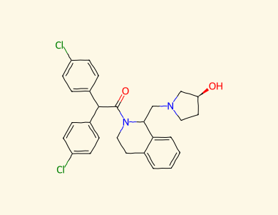 O=C(C(c1ccc(Cl)cc1)c1ccc(Cl)cc1)N1CCc2ccccc2C1CN1CC[C@H](O)C1